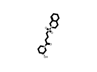 O=C(CCCS(=O)(=O)N1CCC2CCCC=C2C1)N1CCC[C@@H](O)C1